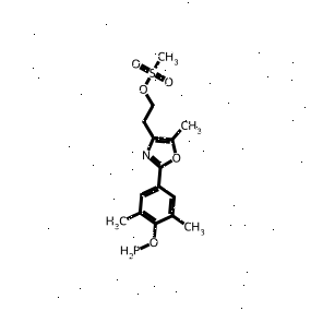 Cc1cc(-c2nc(CCOS(C)(=O)=O)c(C)o2)cc(C)c1OP